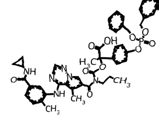 CCCN(C(=O)OC(C)(C(=O)O)c1ccc(OP(=O)(OCc2ccccc2)OCc2ccccc2)cc1)C(=O)c1cn2ncnc(Nc3cc(C(=O)NC4CC4)ccc3C)c2c1C